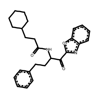 O=C(CCC1CCCCC1)NC(CCc1ccccc1)C(=O)c1nc2ccccc2o1